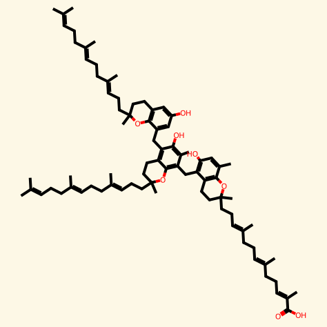 CC(C)=CCC/C(C)=C/CC/C(C)=C/CCC1(C)CCc2cc(O)cc(Cc3c(O)c(C)c(Cc4c(O)cc(C)c5c4CCC(C)(CC/C=C(\C)CC/C=C(\C)CC/C=C(\C)C(=O)O)O5)c4c3CCC(C)(CC/C=C(\C)CC/C=C(\C)CCC=C(C)C)O4)c2O1